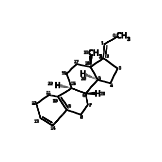 CC=C1CC[C@H]2[C@@H]3CCC4=C(CCC=C4)[C@H]3CC[C@]12C